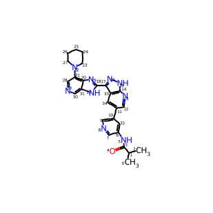 CC(C)C(=O)Nc1cncc(-c2cnc3[nH]nc(-c4nc5c(N6CCCCC6)cncc5[nH]4)c3c2)c1